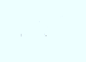 CCCCCCC(=O)NC(CC)CO